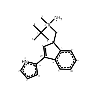 C[C](C)(C)[Ti]([CH3])([NH2])[CH2]C1C=C(c2ccc[nH]2)c2ccccc21